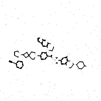 C#Cc1ccccc1[C@@H]1CCCN1C1CC2(CCN(c3ccc(C(=O)NS(=O)(=O)c4cc5c(c([N+](=O)[O-])c4)N[C@@H](C4CCC(O)CC4)CO5)c(N4C[C@@H](C(C)(C)C)Oc5nc6[nH]ccc6cc54)c3)CC2)C1